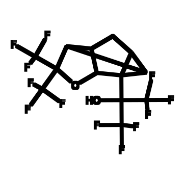 OC(C(F)(F)F)(C(F)(F)F)C12C3CC4C1OC(C(F)(F)F)(C(F)(F)F)C4C32